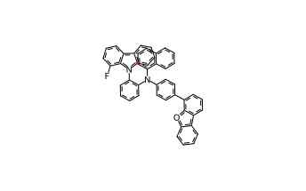 Fc1cccc2c3ccccc3n(-c3ccccc3N(c3ccc(-c4cccc5c4oc4ccccc45)cc3)c3cccc4ccccc34)c12